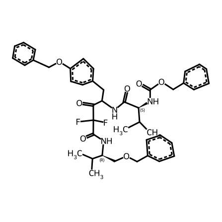 CC(C)[C@H](COCc1ccccc1)NC(=O)C(F)(F)C(=O)C(Cc1ccc(OCc2ccccc2)cc1)NC(=O)[C@@H](NC(=O)OCc1ccccc1)C(C)C